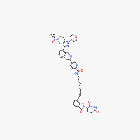 CC(=O)N1CCc2c(c(-c3cccc4cc(-c5ccc(C(=O)NCCCCCC#Cc6cccc7c6CN(C6CCC(=O)NC6=O)C7=O)nc5)ncc34)nn2C2CCOCC2)C1